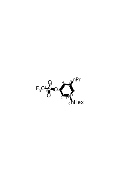 CCCCCC[n+]1cccc(CCC)c1.O=S(=O)([O-])C(F)(F)F